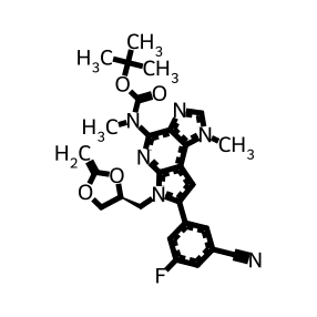 C=C1OC[C@H](Cn2c(-c3cc(F)cc(C#N)c3)cc3c4c(ncn4C)c(N(C)C(=O)OC(C)(C)C)nc32)O1